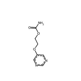 NC(=O)OCCOc1cncnc1